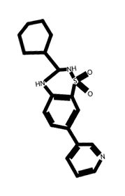 O=S1(=O)NC(C2CCCCC2)Nc2ccc(-c3cccnc3)cc21